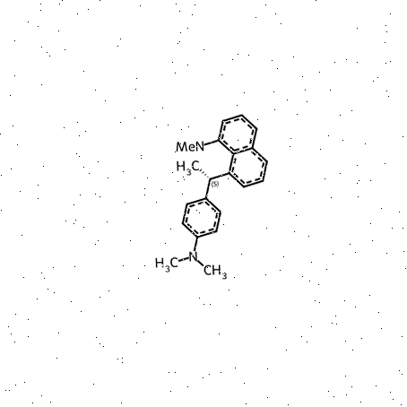 CNc1cccc2cccc([C@@H](C)c3ccc(N(C)C)cc3)c12